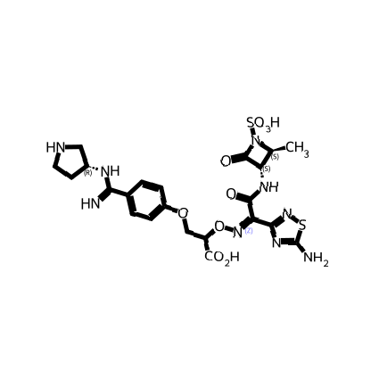 C[C@H]1[C@H](NC(=O)/C(=N\OC(COc2ccc(C(=N)N[C@@H]3CCNC3)cc2)C(=O)O)c2nsc(N)n2)C(=O)N1S(=O)(=O)O